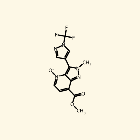 COC(=O)c1cc[n+]([O-])c2c(-c3cnn(C(F)(F)F)c3)n(C)nc12